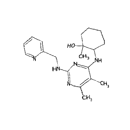 Cc1nc(NCc2ccccn2)nc(NC2CCCCC2(C)O)c1C